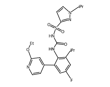 CCOc1cc(-c2cc(F)cc(C(C)C)c2NC(=O)NS(=O)(=O)c2ccn(C(C)C)n2)ccn1